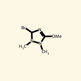 COC1=NC(Br)N(C)N1C